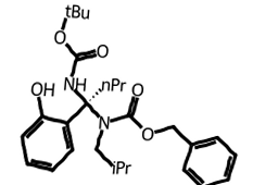 CCC[C@@](NC(=O)OC(C)(C)C)(c1ccccc1O)N(CC(C)C)C(=O)OCc1ccccc1